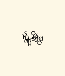 CCP(=S)(Oc1ccccc1Cl)N(SCNC(=O)ON=C(C)SC)c1ccccc1